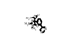 Cc1sc(Cl)cc1C1(c2cccc(-c3cncnc3)c2)N=C(N)N(C)C1=O